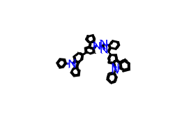 c1ccc(-n2c3ccccc3c3cc(-c4ccc5c(c4)c4ccccc4n5-c4nc(-c5ccc6c(c5)c5ccccc5n6-c5ccccc5)c5ccccc5n4)ccc32)cc1